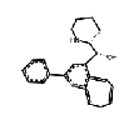 O[C@H](c1cc(-c2ccccc2)nc2c1=CC=CCC=2)[C@H]1CCCCN1